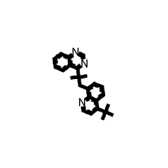 CC(C)(C)c1ccnc2c(CC(C)(C)c3ncnc4ccccc34)cccc12